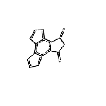 O=C1CC(=O)c2c1c1c(c3c2=CC=C3)C=CC=1